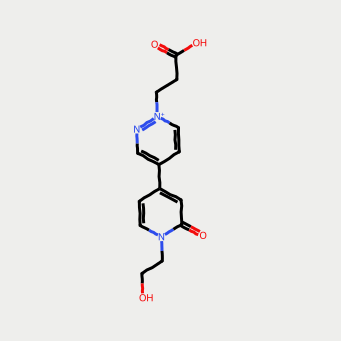 O=C(O)CC[n+]1ccc(-c2ccn(CCO)c(=O)c2)cn1